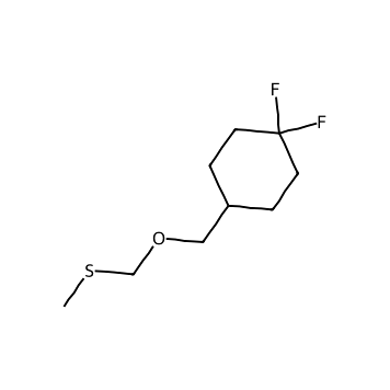 CSCOCC1CCC(F)(F)CC1